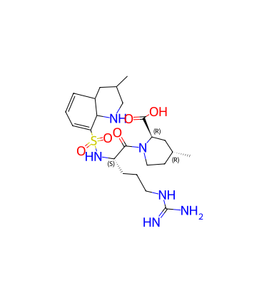 CC1CNC2C(S(=O)(=O)N[C@@H](CCCNC(=N)N)C(=O)N3CC[C@@H](C)C[C@@H]3C(=O)O)=CC=CC2C1